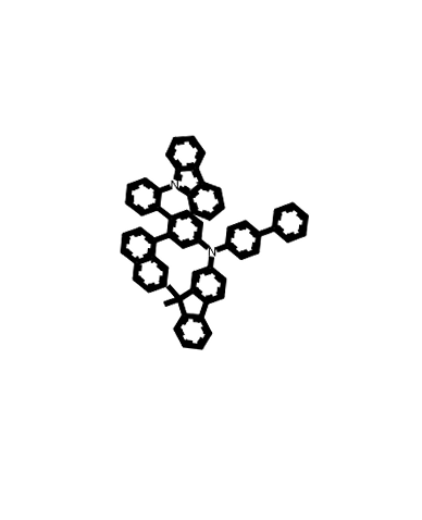 CC1(C)c2ccccc2-c2ccc(N(c3ccc(-c4ccccc4)cc3)c3ccc(-c4ccccc4-n4c5ccccc5c5ccccc54)c(-c4cccc5ccccc45)c3)cc21